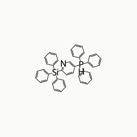 c1ccc([Si](c2ccccc2)(c2ccccc2)c2ccc([PH](c3ccccc3)(c3ccccc3)c3ccccc3)cn2)cc1